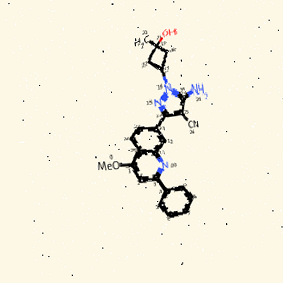 COc1cc(-c2ccccc2)nc2cc(-c3nn(C4CC(C)(O)C4)c(N)c3C#N)ccc12